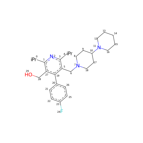 CC(C)c1nc(C(C)C)c(CN2CCC(N3CCCCC3)CC2)c(-c2ccc(F)cc2)c1CO